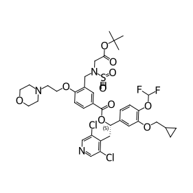 CC(C)(C)OC(=O)CN(Cc1cc(C(=O)O[C@@H](Cc2c(Cl)cncc2Cl)c2ccc(OC(F)F)c(OCC3CC3)c2)ccc1OCCN1CCOCC1)[SH](=O)=O